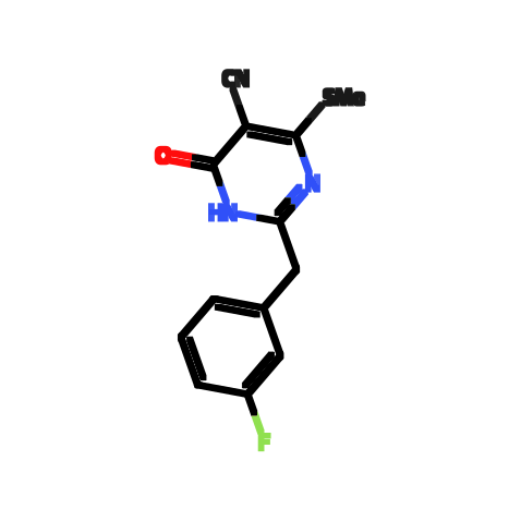 CSc1nc(Cc2cccc(F)c2)[nH]c(=O)c1C#N